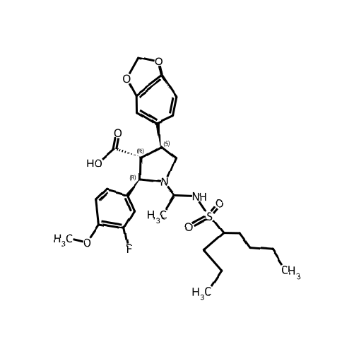 CCCCC(CCC)S(=O)(=O)NC(C)N1C[C@H](c2ccc3c(c2)OCO3)[C@@H](C(=O)O)[C@@H]1c1ccc(OC)c(F)c1